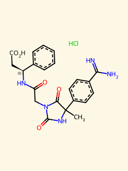 CC1(c2ccc(C(=N)N)cc2)NC(=O)N(CC(=O)N[C@@H](CC(=O)O)c2ccccc2)C1=O.Cl